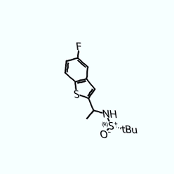 CC(N[S@@+]([O-])C(C)(C)C)c1cc2cc(F)ccc2s1